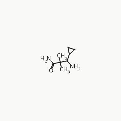 CC(C)(C(N)=O)C(N)C1CC1